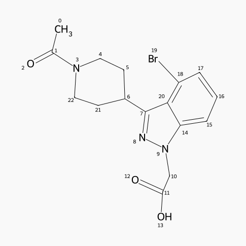 CC(=O)N1CCC(c2nn(CC(=O)O)c3cccc(Br)c23)CC1